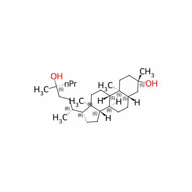 CCC[C@](C)(O)CC[C@@H](C)[C@H]1CC[C@H]2[C@@H]3CC[C@H]4C[C@@](C)(O)CC[C@]4(C)[C@H]3CC[C@]12C